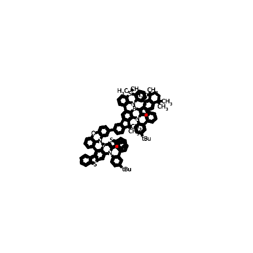 CC(C)(C)c1ccc(N2c3sc4cc5c(cc4c3B3c4c(cc6c(c42)C(C)(C)c2ccc(-c4ccc7c(c4)N4B8c9sc%10ccccc%10c9N(c9ccc(C(C)(C)C)cc9-c9ccccc9)c9cc%10sc%11ccccc%11c%10c(c98)-c8cccc(c84)O7)cc2-6)-c2cccc4c2N3c2ccccc2[Si]4(C)C)C(C)(C)CCC5(C)C)c(-c2ccccc2)c1